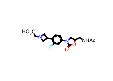 CC(=O)NCC1CN(c2ccc(C3CN(CC(=O)O)C3)c(F)c2)C(=O)O1